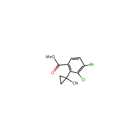 COC(=O)c1ccc(Br)c(Cl)c1C1(C#N)CC1